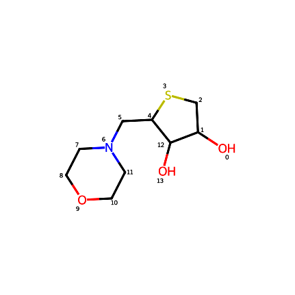 OC1CSC(CN2CCOCC2)C1O